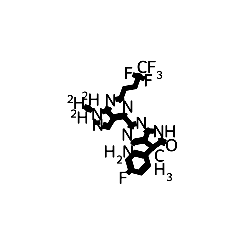 [2H]C([2H])([2H])n1ncc2c(-c3nc(N)c4c(n3)NC(=O)C4(C)c3ccc(F)cc3)nc(CCC(F)(F)C(F)(F)F)nc21